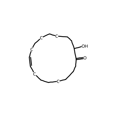 O=C1CCCCCCCC=CCCCCCCCC1O